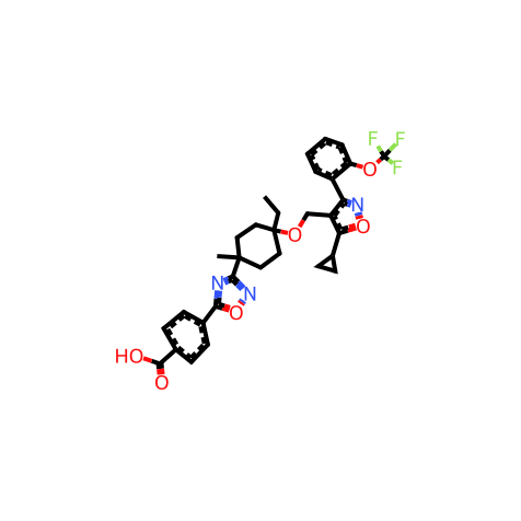 CCC1(OCc2c(-c3ccccc3OC(F)(F)F)noc2C2CC2)CCC(C)(c2noc(-c3ccc(C(=O)O)cc3)n2)CC1